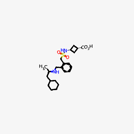 CC(CC1CCCCC1)NCc1ccccc1CS(=O)(=O)N[C@H]1C[C@@H](C(=O)O)C1